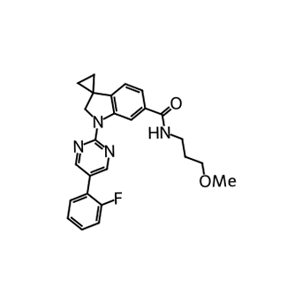 COCCCNC(=O)c1ccc2c(c1)N(c1ncc(-c3ccccc3F)cn1)CC21CC1